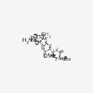 COc1cc2c(cc1-c1ccc(C(C)(C)C)cc1)CC(C)(C)C2OC(N)=O